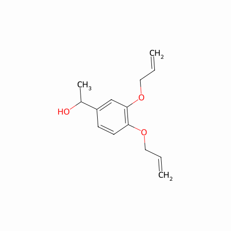 C=CCOc1ccc(C(C)O)cc1OCC=C